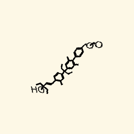 CCC(O)(/C=C/c1ccc(C(CC)(CC)c2cc(C)c(-c3ccc(COC=O)cc3)c(C)c2)cc1C)CC